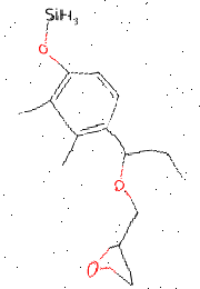 CCC(OCC1CO1)c1ccc(O[SiH3])c(C)c1C